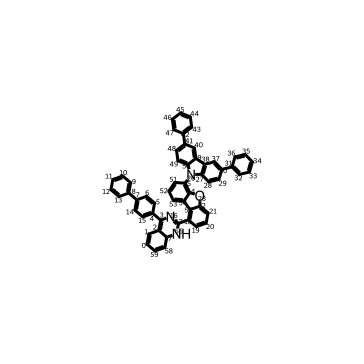 C1=CC2=C(c3ccc(-c4ccccc4)cc3)N=C(c3cccc4oc5c(-n6c7ccc(-c8ccccc8)cc7c7cc(-c8ccccc8)ccc76)cccc5c34)NC2C=C1